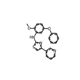 COc1ccc(Oc2ccccc2)cc1Nc1nc(-c2cccnc2)cs1